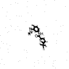 Cc1ccc(NC(=O)c2ccc(C(C)(C)C)s2)cc1N=[N+]=[N-]